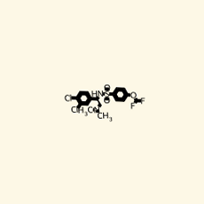 CN(C)C[C@H](NS(=O)(=O)c1ccc(OC(F)F)cc1)c1ccc(Cl)c(Cl)c1